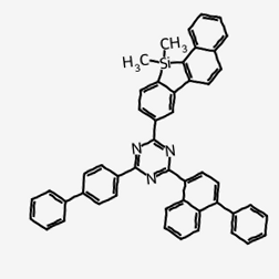 C[Si]1(C)c2ccc(-c3nc(-c4ccc(-c5ccccc5)cc4)nc(-c4ccc(-c5ccccc5)c5ccccc45)n3)cc2-c2ccc3ccccc3c21